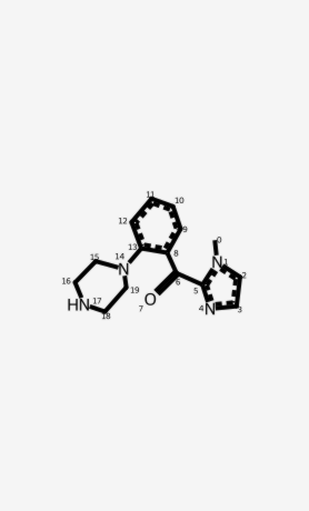 Cn1ccnc1C(=O)c1ccccc1N1CCNCC1